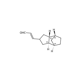 O=CC=CC1C[C@@H]2[C@@H]3CC[C@H](C3)[C@H]2C1